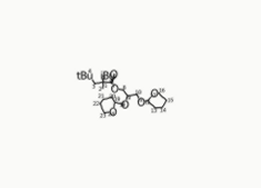 CCC(C)C(C)(CC(C)(C)C)C(=O)OCC(COC1CCCCO1)OC1CCCCO1